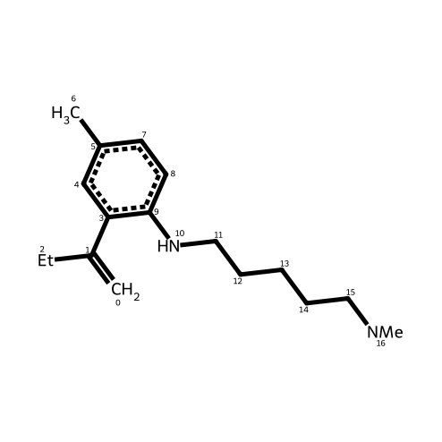 C=C(CC)c1cc(C)ccc1NCCCCCNC